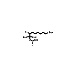 CCCCCCCCCCCCCCCCC(CCCC)C(CCCC)(CCCC)[O][Ti](=[O])[OH]